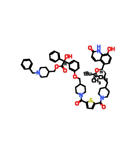 CC(C)(C)[Si](C)(C)O[C@@H](CCCC1CCN(C(=O)c2ccc(C(=O)N3CCC(COc4cccc([C@](O)(C(=O)OCC5CCN(Cc6ccccc6)CC5)c5ccccc5)c4)CC3)s2)CC1)c1ccc(O)c2[nH]c(=O)ccc12